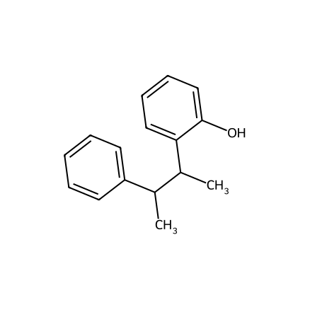 CC(c1ccccc1)C(C)c1ccccc1O